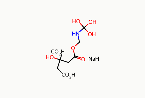 O=C(O)CC(O)(CC(=O)OCNC(O)(O)O)C(=O)O.[NaH]